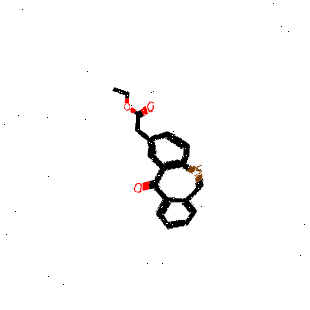 CCOC(=O)Cc1ccc2c(c1)C(=O)c1ccccc1CS2